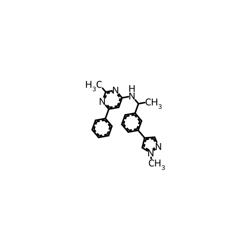 Cc1nc(NC(C)c2cccc(-c3cnn(C)c3)c2)cc(-c2ccccc2)n1